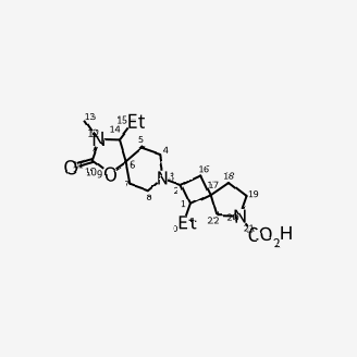 CCC1C(N2CCC3(CC2)OC(=O)N(C)C3CC)CC12CCN(C(=O)O)C2